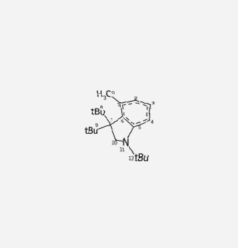 Cc1cccc2c1C(C(C)(C)C)(C(C)(C)C)CN2C(C)(C)C